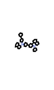 c1ccc(-c2ccc(N(c3ccc(-c4ccc5c(c4)-c4cccc6cccc(c46)N5c4ccccc4)cc3)c3cccc4ccccc34)cc2)cc1